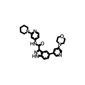 O=C(Nc1ccnc(N2CCCCC2)c1)c1n[nH]c2ccc(-c3cncc(N4CCOCC4)c3)cc12